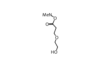 CNOC(=O)CCOCCO